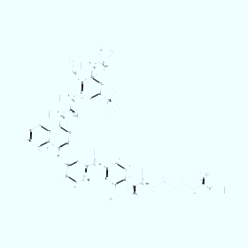 COc1cc(Nc2cc(Oc3ccc(NC(=O)Nc4cc(C(C)(C)C)cc(NS(C)(=O)=O)c4OC)c4ccccc34)ccn2)ccc1C(=O)NCCCCCC(=O)O